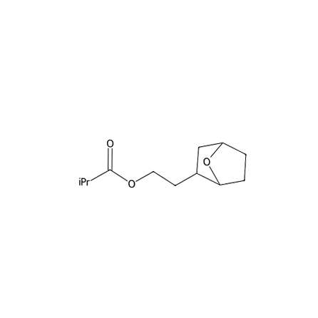 CC(C)C(=O)OCCC1CC2CCC1O2